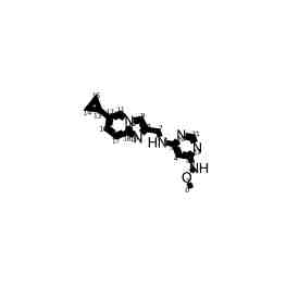 CONc1cc(NCc2cn3cc(C4CC4)ccc3n2)ncn1